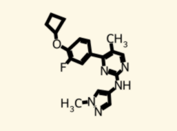 Cc1cnc(Nc2cnn(C)c2)nc1-c1ccc(OC2CCC2)c(F)c1